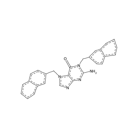 Nc1nc2ncn(Cc3ccc4ccccc4c3)c2c(=O)n1Cc1ccc2ccccc2c1